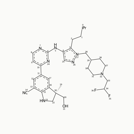 CC(C)CCc1c(Nc2nccc(-c3cc(C#N)c4c(c3)[C@@](C)(CO)CN4)n2)cnn1CC1CCN(CC(F)F)CC1